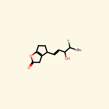 CCCCC(F)C(O)/C=C/C1CCC2=C1CC(=O)O2